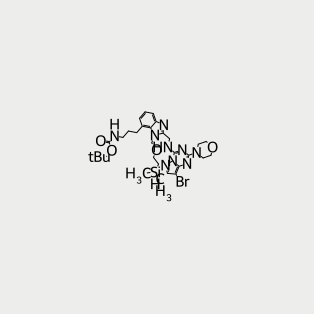 C[SiH](C)CCOCn1c(CNc2nc(N3CCOCC3)nc3c(Br)cnn23)nc2cccc(CCCNC(=O)OC(C)(C)C)c21